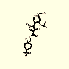 CCCNc1cc(OC(F)F)c(-c2c(Cl)c(C(=O)NC[C@]3(O)CC[C@@H](S(C)(=O)=O)CC3)nn2CC)cn1